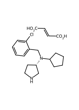 Clc1ccccc1CN(C1CCCC1)[C@H]1CCNC1.O=C(O)/C=C/C(=O)O